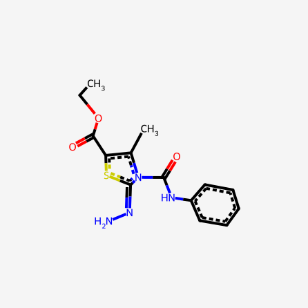 CCOC(=O)c1sc(=NN)n(C(=O)Nc2ccccc2)c1C